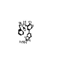 CC(=O)Nn1nc2ccc(-c3cnc(Cl)c(NS(=O)(=O)Cc4ccccc4)c3)cc2n1